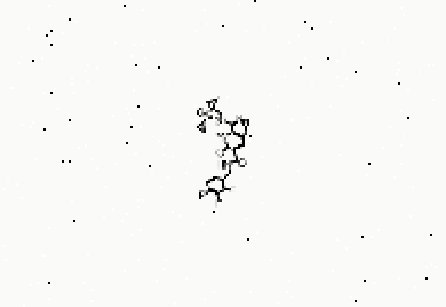 Cn1c(=O)c(C(=O)NCc2ccc(F)c(F)c2F)cc2cnnc(OCC3(S(=O)(=O)C4CC4)CC3)c21